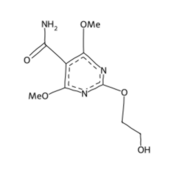 COc1nc(OCCO)nc(OC)c1C(N)=O